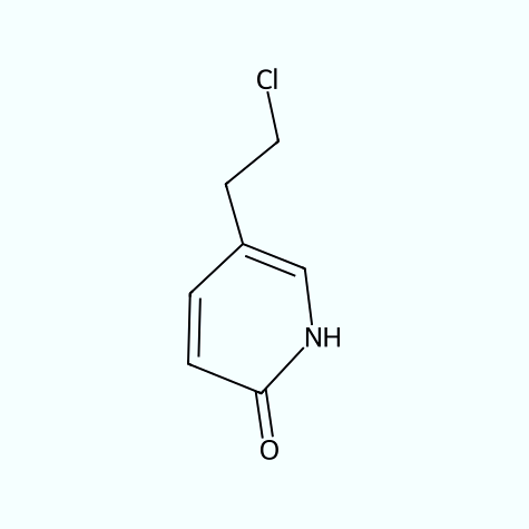 O=c1ccc(CCCl)c[nH]1